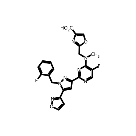 CN(Cc1nc(C(=O)O)co1)c1nc(-c2cc(-c3ccon3)n(Cc3ccccc3F)n2)ncc1F